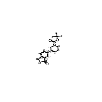 CC(C)(C)OC(=O)N1CCC=C(c2ccc3c(c2)C(=O)CC3)C1